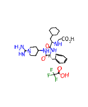 N=C(N)N1CCC(NC(=O)[C@@H](Cc2ccccc2)NC(=O)C(CC2CCCCC2)NCC(=O)O)CC1.O=C(O)C(F)(F)F